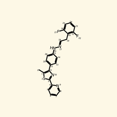 Cc1sc(-c2ccccn2)nc1-c1ccc(N/N=C/Cc2c(F)cccc2F)cc1